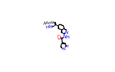 CN/C=C(\C=N)c1ccc2cnc(NC(=O)c3ccnc(I)c3)cc2c1